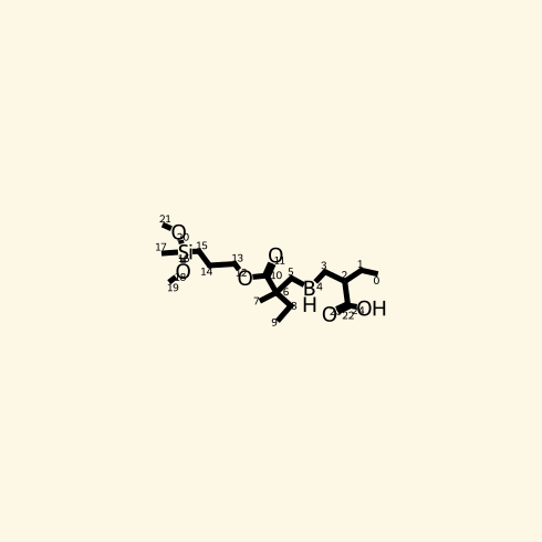 CCC(CBCC(C)(CC)C(=O)OCCC[Si](C)(OC)OC)C(=O)O